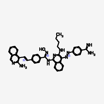 CCCCNc1nc(N/C(=N/O)c2ccc(/C=C/c3c(N)ncc4ccccc34)cc2)c2ccccc2c1/N=N/c1ccc(C(=N)N)cc1